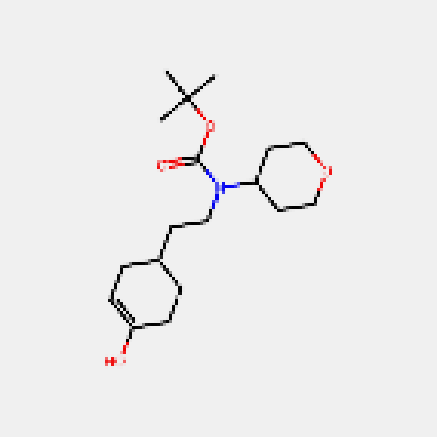 CC(C)(C)OC(=O)N(CCC1CC=C(O)CC1)C1CCOCC1